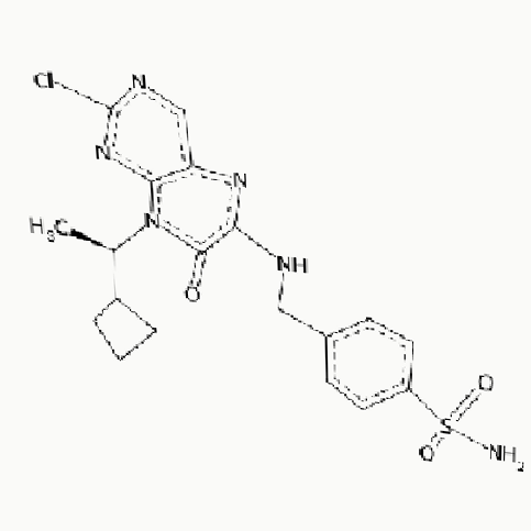 C[C@H](C1CCC1)n1c(=O)c(NCc2ccc(S(N)(=O)=O)cc2)nc2cnc(Cl)nc21